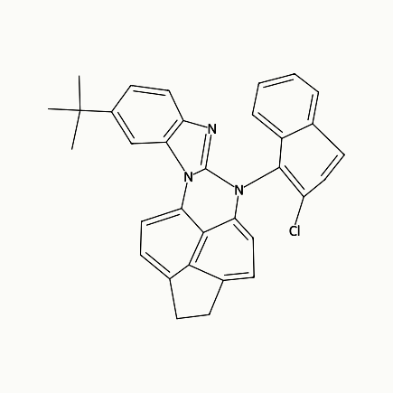 CC(C)(C)c1ccc2nc3n(-c4c(Cl)ccc5ccccc45)c4ccc5c6c(ccc(c64)n3c2c1)CC5